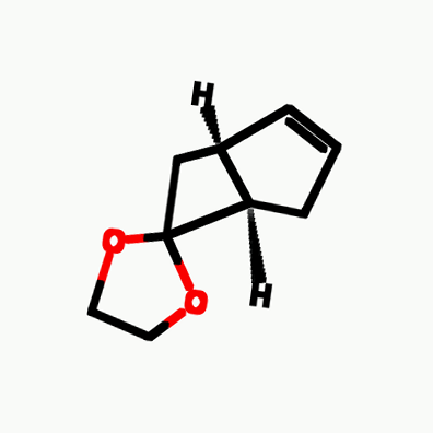 C1=C[C@@H]2CC3(OCCO3)[C@@H]2C1